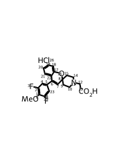 COc1c(F)cc(C2=CC3(CCN(CC(=O)O)CC3)Oc3ccccc32)cc1F.Cl